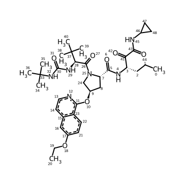 CCC[C@H](NC(=O)[C@@H]1C[C@@H](Oc2nccc3cc(OCC)ccc23)CN1C(=O)[C@@H](NC(=O)NC(C)(C)C)C(C)(C)C)C(=O)C(=O)NC1CC1